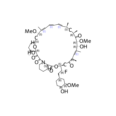 CO[C@H]1C[C@@H]2CC[C@@H](C)[C@@](O)(O2)C(=O)C(=O)N2CCCC[C@H]2C(=O)O[C@H]([C@H](F)C[C@@H]2CC[C@@H](O)[C@H](OC)C2)CC(=O)[C@H](C)/C=C(\C)[C@@H](O)[C@@H](OC)C(=O)[C@H](C)C[C@H](C)/C=C/C=C/C=C/1C